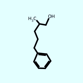 CC(CO)CCCc1ccccc1